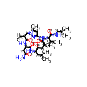 CCC(Cn1nc(C)cc1C)C(=O)NC(CC(N)=O)C(=O)NC(CC(C)C)C(O)CC(C)C(=O)NC(C(=O)NCC(C)C)C(C)C